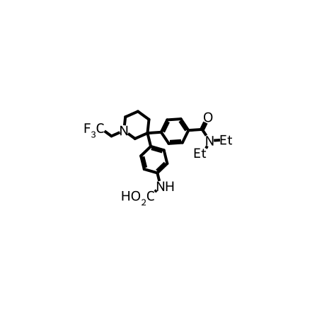 CCN(CC)C(=O)c1ccc(C2(c3ccc(NC(=O)O)cc3)CCCN(CC(F)(F)F)C2)cc1